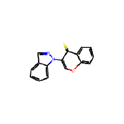 S=c1c(-n2ncc3ccccc32)coc2ccccc12